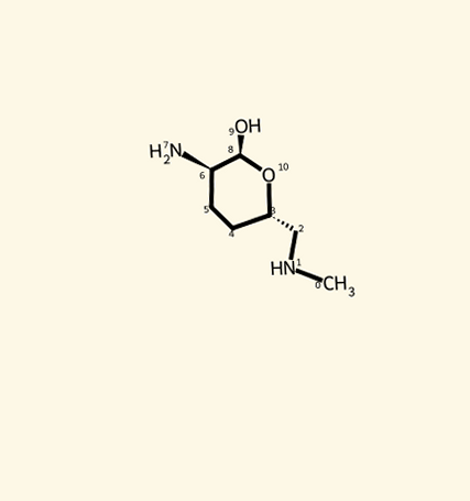 CNC[C@@H]1CC[C@@H](N)[C@@H](O)O1